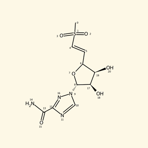 CS(=O)(=O)/C=C/C1O[C@@H](n2cnc(C(N)=O)n2)[C@H](O)[C@@H]1O